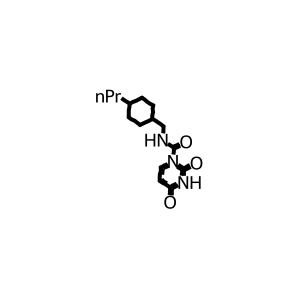 CCCC1CCC(CNC(=O)n2ccc(=O)[nH]c2=O)CC1